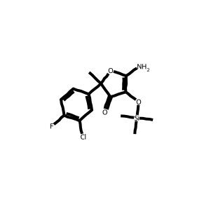 CC1(c2ccc(F)c(Cl)c2)OC(N)=C(O[Si](C)(C)C)C1=O